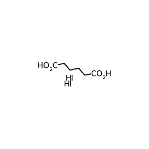 I.I.O=C(O)CCCCC(=O)O